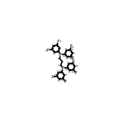 Fc1cc(F)cc(P(CCCP(c2cc(F)cc(F)c2)c2cc(F)cc(F)c2)c2cc(F)cc(F)c2)c1